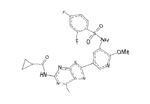 COc1ncc(-c2nc3c(C)nc(NC(=O)C4CC4)nc3s2)cc1NS(=O)(=O)c1ccc(F)cc1F